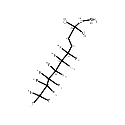 FC(F)(F)C(F)(F)C(F)(F)C(F)(F)C(F)(F)C(F)(F)CCC(Cl)(Cl)O[SiH3]